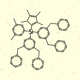 CC1=C(C)C(C)C([Si](c2cc(C)cc(C)c2)(c2cc(Cc3ccccc3)cc(Cc3ccccc3)c2)c2cc(Cc3ccccc3)cc(Cc3ccccc3)c2)=C1C